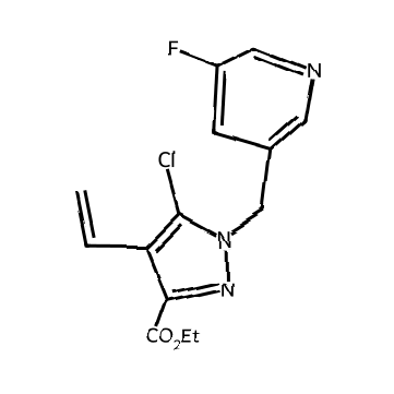 C=Cc1c(C(=O)OCC)nn(Cc2cncc(F)c2)c1Cl